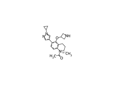 CC(=O)N1c2ccc(-c3cnn(C4CC4)c3)c(OC3CNC3)c2CC[C@@H]1C